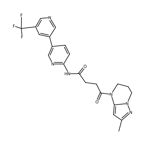 Cc1cc2n(n1)CCCN2C(=O)CCC(=O)Nc1ccc(-c2cncc(C(F)(F)F)c2)cn1